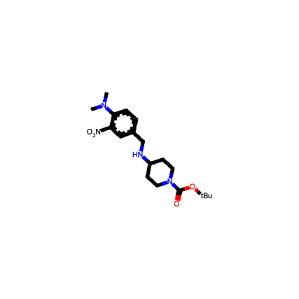 CN(C)c1ccc(CNC2CCN(C(=O)OC(C)(C)C)CC2)cc1[N+](=O)[O-]